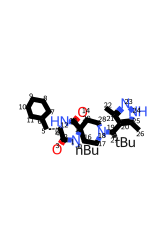 CCCCN1C(=O)[C@H](CC2CCCCC2)NC(=O)C12CCN(C(c1c(C)n[nH]c1C)C(C)(C)C)CC2